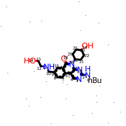 CCCCNc1ncc2c3ccc(CNCCO)cc3c(=O)n(C3CCC(O)CC3)c2n1